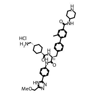 COCc1nnc(-c2ccc(NC(=O)[C@H](Cc3ccc(-c4ccc(C(=O)NC5CCNCC5)cc4C)cc3)NC(=O)[C@H]3CC[C@H](CN)CC3)cc2)[nH]1.Cl